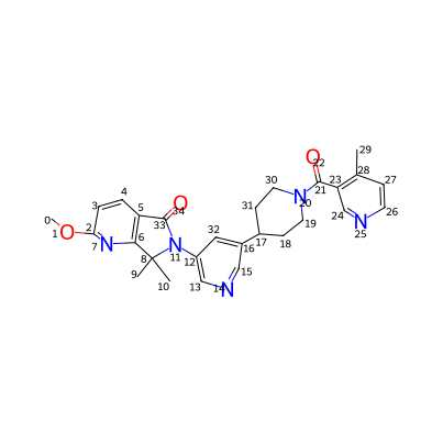 COc1ccc2c(n1)C(C)(C)N(c1cncc(C3CCN(C(=O)c4cnccc4C)CC3)c1)C2=O